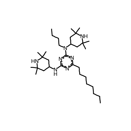 CCCCCCCCc1nc(NC2CC(C)(C)NC(C)(C)C2)nc(N(CCCC)C2CC(C)(C)NC(C)(C)C2)n1